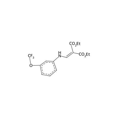 CCOC(=O)C(=CNc1cccc(OC(F)(F)F)c1)C(=O)OCC